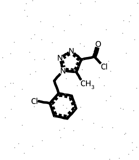 Cc1c(C(=O)Cl)nnn1Cc1ccccc1Cl